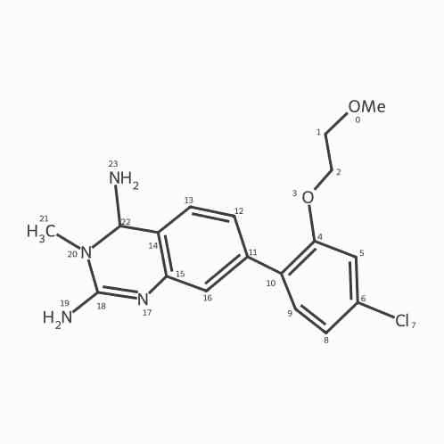 COCCOc1cc(Cl)ccc1-c1ccc2c(c1)N=C(N)N(C)C2N